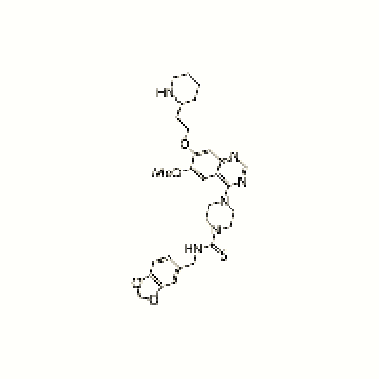 COc1cc2c(N3CCN(C(=S)NCc4ccc5c(c4)OCO5)CC3)ncnc2cc1OCCC1CCCCN1